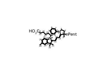 CCCCCC1(C)CCN(c2ccccc2)/C1=C\C=C\C1=[N+](CCCCCC(=O)O)c2ccc(C)cc2C1(C)C